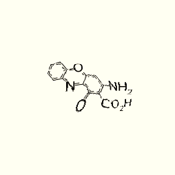 Nc1cc2oc3ccccc3nc-2c(=O)c1C(=O)O